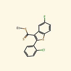 CCSC(=S)c1c(-c2ccccc2Cl)sc2ccc(F)cc12